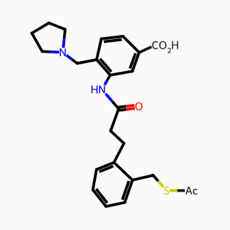 CC(=O)SCc1ccccc1CCC(=O)Nc1cc(C(=O)O)ccc1CN1CCCC1